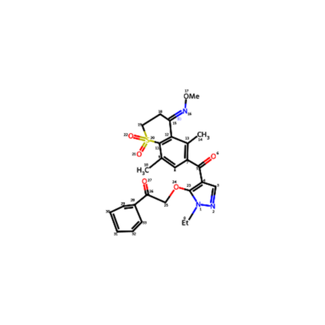 CCn1ncc(C(=O)c2cc(C)c3c(c2C)/C(=N/OC)CCS3(=O)=O)c1OCC(=O)c1ccccc1